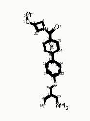 CC(C)OC1CN(C(=O)C23CCC(c4ccc(OCC(=CF)CN)cc4)(CC2)CC3)C1